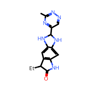 CCC1C(=O)Nc2cc3c(cc21)NC(c1cnnc(C)n1)N3